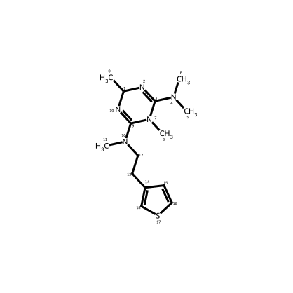 CC1N=C(N(C)C)N(C)C(N(C)CCc2ccsc2)=N1